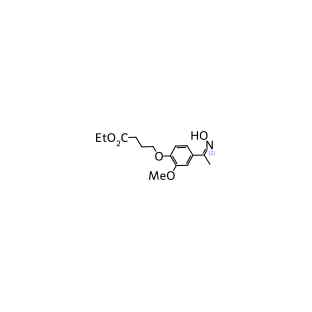 CCOC(=O)CCCOc1ccc(/C(C)=N\O)cc1OC